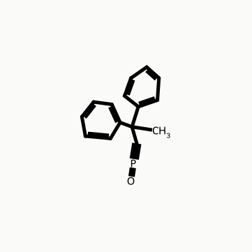 CC(C#P=O)(c1ccccc1)c1ccccc1